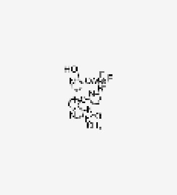 COc1cc(-c2ccc3ncc4c(c3c2)n(-c2ccc(N3CC(F)(F)C3)nc2C)c(=O)n4C)cnc1CO